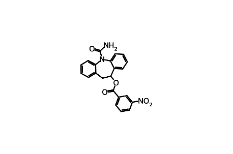 NC(=O)N1c2ccccc2CC(OC(=O)c2cccc([N+](=O)[O-])c2)c2ccccc21